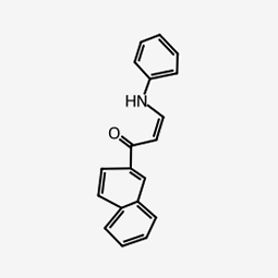 O=C(/C=C\Nc1ccccc1)c1ccc2ccccc2c1